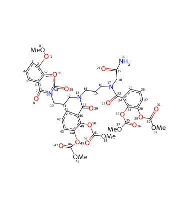 COOc1cccc2c(=O)n(CCCN(CCCN(CC(N)=O)C(=O)c3cccc(OC(=O)OC)c3OC(=O)OC)C(=O)c3cccc(OC(=O)OC)c3OC(=O)OC)c(=O)oc12